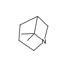 CC1(C)C2CCCN1C2